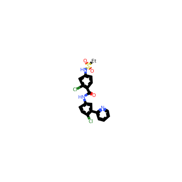 CCS(=O)(=O)Nc1ccc(C(=O)Nc2ccc(Cl)c(-c3ccccn3)c2)c(Cl)c1